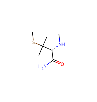 CN[C@H](C(N)=O)C(C)(C)SC